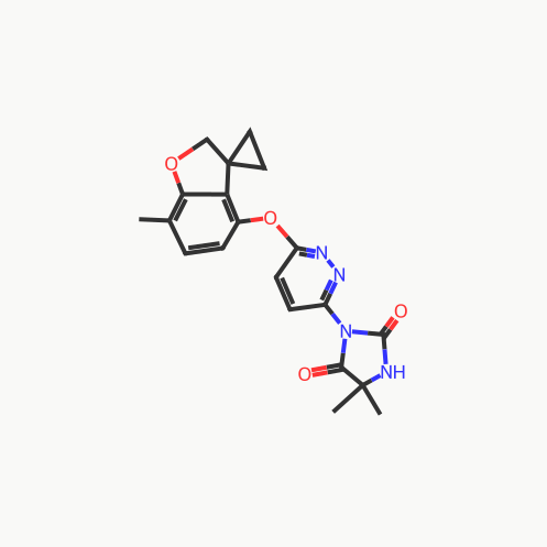 Cc1ccc(Oc2ccc(N3C(=O)NC(C)(C)C3=O)nn2)c2c1OCC21CC1